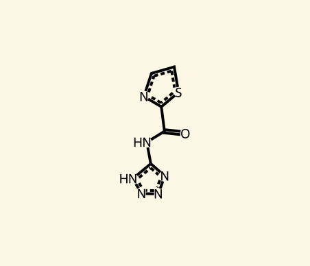 O=C(Nc1nnn[nH]1)c1nccs1